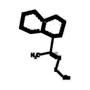 C/C(=N\SC(C)(C)C)c1cccc2ccccc12